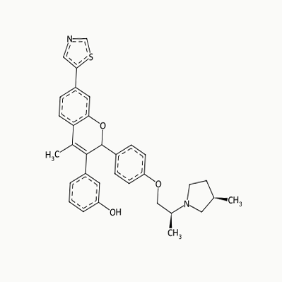 CC1=C(c2cccc(O)c2)C(c2ccc(OC[C@H](C)N3CC[C@@H](C)C3)cc2)Oc2cc(-c3cncs3)ccc21